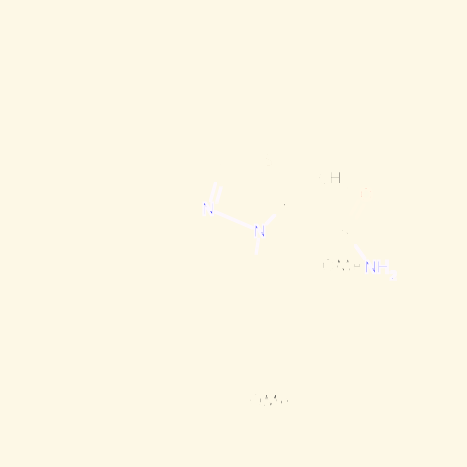 COc1ccc(N2N=C(c3cccc4ccccc34)SC2(C)CC(N)=O)c(OC)c1